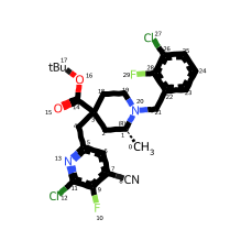 C[C@@H]1CC(Cc2cc(C#N)c(F)c(Cl)n2)(C(=O)OC(C)(C)C)CCN1Cc1cccc(Cl)c1F